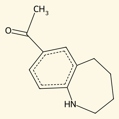 CC(=O)c1ccc2c(c1)CCCCN2